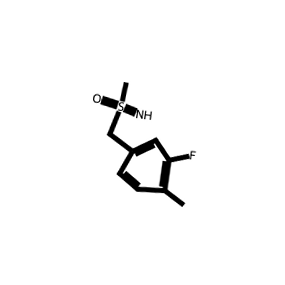 Cc1ccc(CS(C)(=N)=O)cc1F